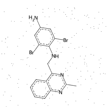 Cc1nc(CNc2c(Br)cc(N)cc2Br)c2ccccc2n1